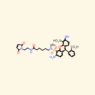 CCCCN(CCCCCC(=O)NCCN1C(=O)C=CC1=O)S(=O)(=O)c1c(N)ccc2c(-c3ccccc3C(=O)O)c3ccc(=N)c(S(=O)(=O)O)c-3oc12